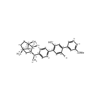 COc1cc(-c2cc(O)c(-c3cnc(N(C)[C@H]4C[C@]5(C)CC[C@@](C)(N5)[C@H]4F)cn3)cc2F)cnn1